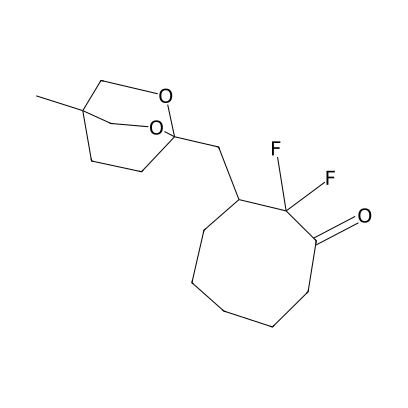 CC12CCC(CC3CCCCCC(=O)C3(F)F)(OC1)OC2